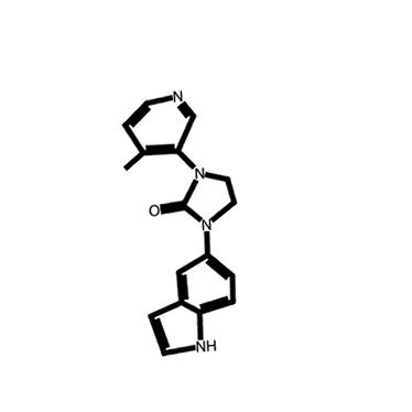 Cc1ccncc1N1CCN(c2ccc3[nH]ccc3c2)C1=O